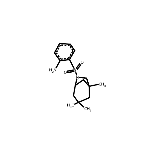 CC1(C)CC2CC(C)(CN2S(=O)(=O)c2ccccc2N)C1